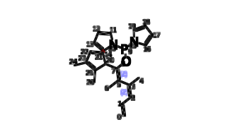 C=C/C=C(C)\C(C)=C(/OP(n1cccc1)n1cccc1)C1C=CC(C)=C1C